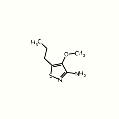 CCCc1snc(N)c1OC